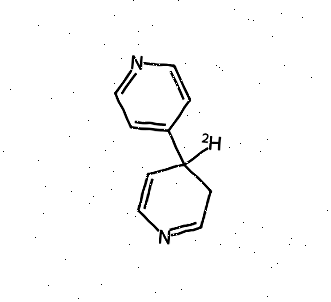 [2H]C1(c2ccncc2)C=CN=CC1